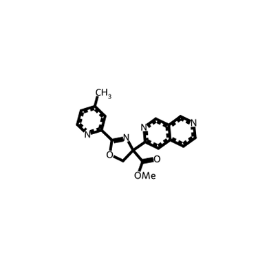 COC(=O)C1(c2cc3ccncc3cn2)COC(c2cc(C)ccn2)=N1